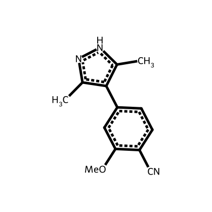 COc1cc(-c2c(C)n[nH]c2C)ccc1C#N